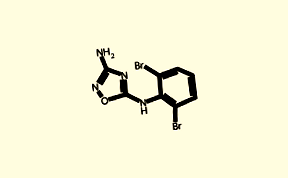 Nc1noc(Nc2c(Br)cccc2Br)n1